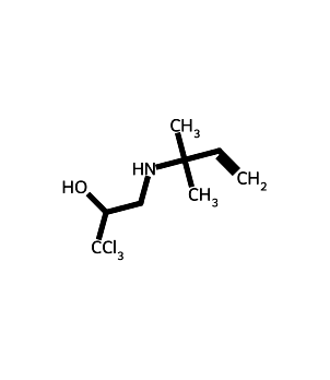 C=CC(C)(C)NCC(O)C(Cl)(Cl)Cl